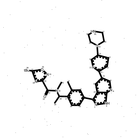 Cc1cc(-c2n[nH]c3ncc(-c4ccc(N5CCNCC5)cn4)cc23)ccc1C(C)N(C)C(=O)c1noc(C(C)(C)C)n1